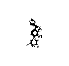 C[C@@H]1CN(C2=[C]C=C3C(c4cncs4)=NOC3C2Cl)C[C@H](C)O1